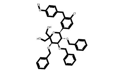 CCOc1ccc(Cc2cc([C@@H]3OC(CO)(CO)[C@H](OCc4ccccc4)[C@H](OCc4ccccc4)[C@H]3OCc3ccccc3)ccc2Cl)cc1